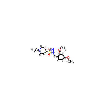 COc1ccc(CNS(=O)(=O)C2CCN(C)CC2)c(OC)c1